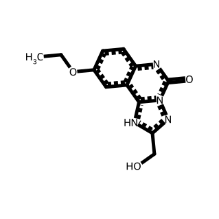 CCOc1ccc2nc(=O)n3nc(CO)[nH]c3c2c1